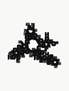 CO/N=C1\C[C@@H](C)O[C@@H](O[C@@H]2[C@@H](C)[C@H](O[C@H]3C[C@H](C)N(C)C[C@H](C)O3)[C@@H](C)C(=O)O[C@H](C(C)CO[C@@H]3O[C@H](C)[C@@H](O)[C@@H](OC)[C@H]3OC)[C@H](C)[C@@H](OC(=O)CC(C)C)[C@@H](C)C(=O)[C@@](C)(OC(=O)NC(C)(C)CNS(=O)(=O)c3ccccc3)C[C@@H]2C)[C@@H]1O